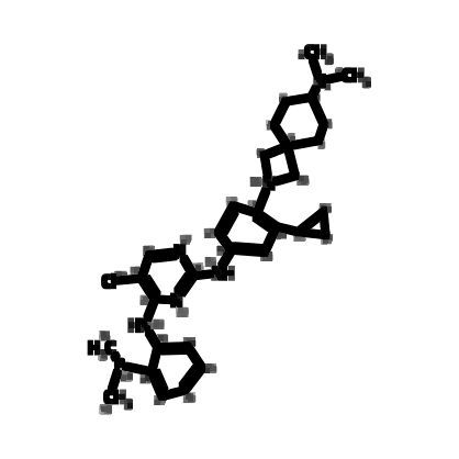 CN(C)C1CCC2(CC1)CN(c1ccc(Nc3ncc(Cl)c(Nc4ccccc4P(C)C)n3)cc1C1CC1)C2